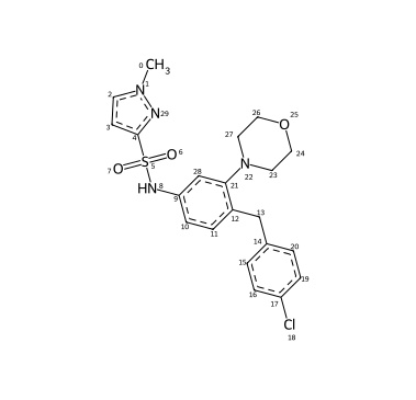 Cn1ccc(S(=O)(=O)Nc2ccc(Cc3ccc(Cl)cc3)c(N3CCOCC3)c2)n1